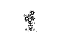 CC1(N)COC(c2nc(-c3ccc(F)cc3)c(-c3ccnc(C(N)c4ccccn4)n3)[nH]2)OC1